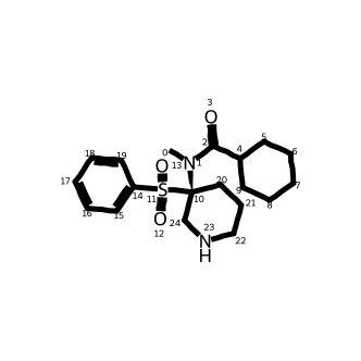 CN(C(=O)C1CCCCC1)[C@@]1(S(=O)(=O)c2ccccc2)CCCNC1